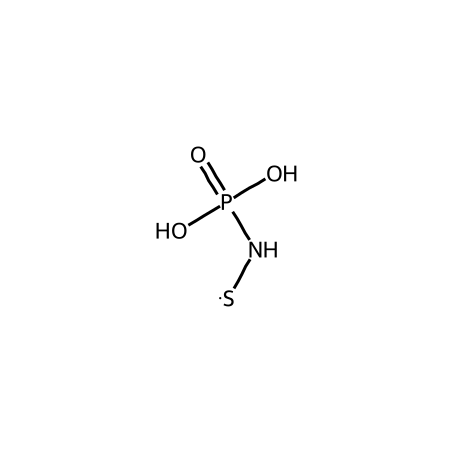 O=P(O)(O)N[S]